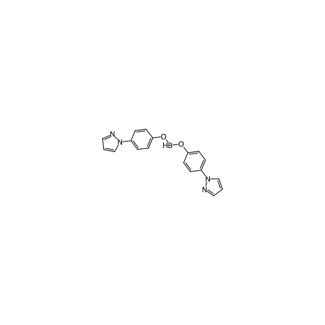 B(Oc1ccc(-n2cccn2)cc1)Oc1ccc(-n2cccn2)cc1